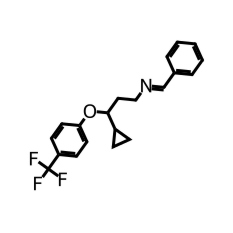 FC(F)(F)c1ccc(OC(CCN=Cc2ccccc2)C2CC2)cc1